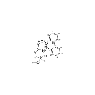 COC1(C)CCC(CO)N(C(=O)c2ccccc2-c2ccccc2)C1